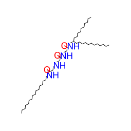 CCCCCCCCCCCCCCCCNC(=O)CCNCCC(=O)NCCC(=O)NCC(CCCCCCCCCC)CCCCCCCCCCCC